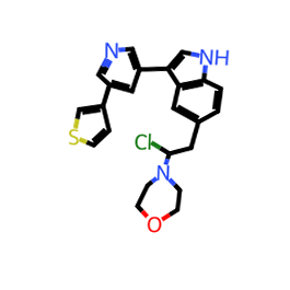 ClC(Cc1ccc2[nH]cc(-c3cncc(-c4ccsc4)c3)c2c1)N1CCOCC1